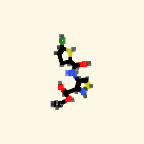 COC(=O)c1nscc1NC(=O)C1CC=C(Cl)S1